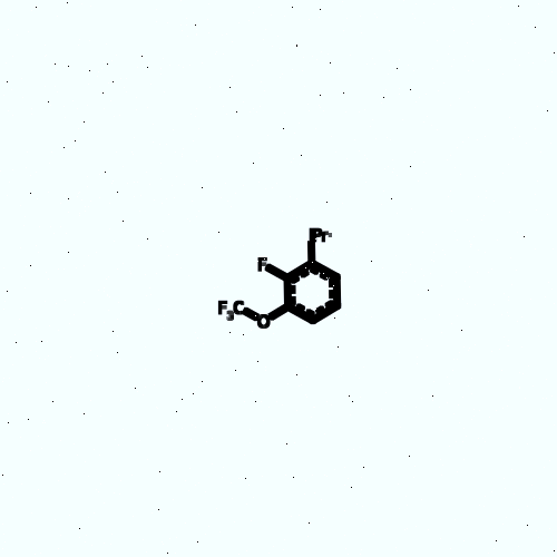 C[C](C)c1cccc(OC(F)(F)F)c1F